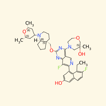 CCc1c(F)ccc2cc(O)cc(-c3ncc4c(N5CCOC[C@@](C)(O)C5)nc(OC[C@]56CCC[C@H]5N(C5C[C@@H](C)O[C@@H](C)C5)CCC6)nc4c3F)c12